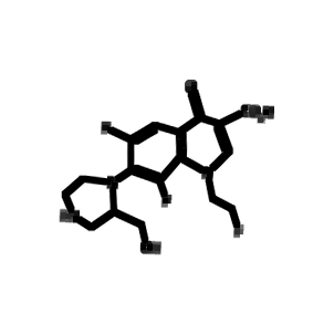 O=C(O)c1cn(CCF)c2c(F)c(N3CCNCC3CO)c(F)cc2c1=O